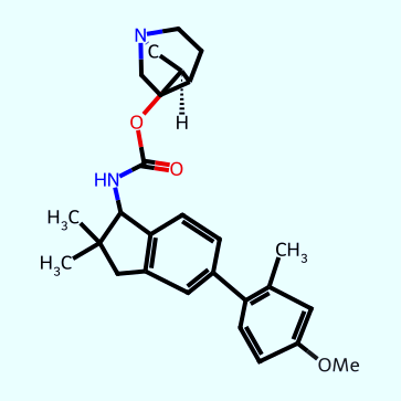 COc1ccc(-c2ccc3c(c2)CC(C)(C)C3NC(=O)O[C@H]2CN3CCC2CC3)c(C)c1